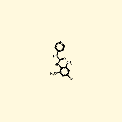 Cc1cc(Br)cc(C)c1NC(=O)Nc1ccncc1